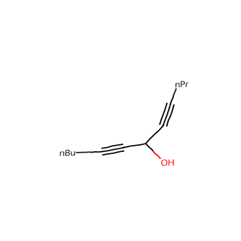 CCCC#CC(O)C#CCCCC